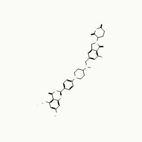 COc1cc(OC)c2c(=O)[nH]c(-c3ccc(N4CCC(N(C)Cc5cc(F)c6c(c5)CN(C5CCC(=O)NC5=O)C6=O)CC4)cc3)nc2c1